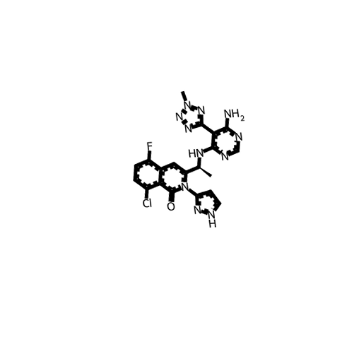 C[C@H](Nc1ncnc(N)c1-c1nnn(C)n1)c1cc2c(F)ccc(Cl)c2c(=O)n1-c1cc[nH]n1